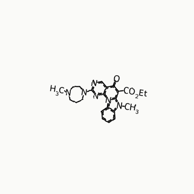 CCOC(=O)c1c(=O)c2cnc(N3CCCN(C)CC3)nc2n2c3ccccc3n(C)c12